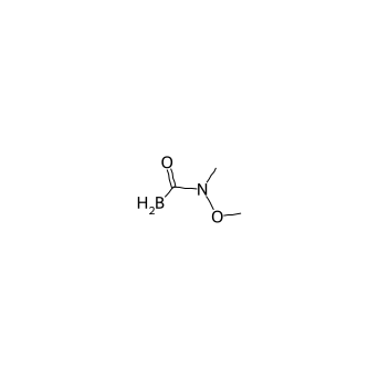 BC(=O)N(C)OC